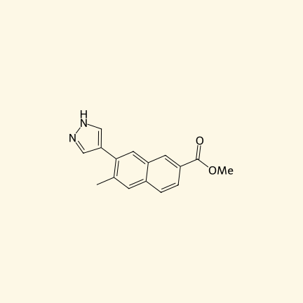 COC(=O)c1ccc2cc(C)c(-c3cn[nH]c3)cc2c1